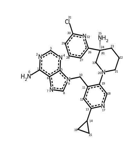 Nc1ncnc2c1ncn2Cc1cc(C2CC2)ncc1N1CCC[C@](N)(c2cccc(Cl)n2)C1